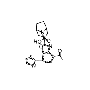 CC(=O)c1ccc(-c2nccs2)c2oc(N3CC4CCC(C3)N4C(=O)O)nc12